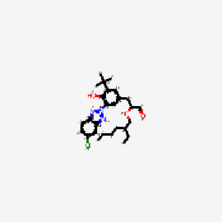 CCCCC(CC)COC(C=O)Cc1cc(-n2nc3ccc(Cl)cc3n2)c(O)c(C(C)(C)C)c1